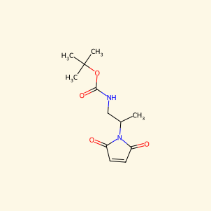 CC(CNC(=O)OC(C)(C)C)N1C(=O)C=CC1=O